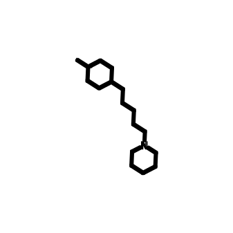 C[C]1CCC(CCCCCN2CCCCC2)CC1